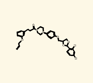 C=CCOc1cccc(CCC(=O)N2CCN(c3ccc(OCC4COC(c5ccc(Cl)cc5Cl)O4)cc3)CC2)c1